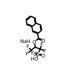 O=C(OC(C(F)(F)F)C(F)(F)S(=O)(=O)O)c1ccc2ccccc2c1.[NaH]